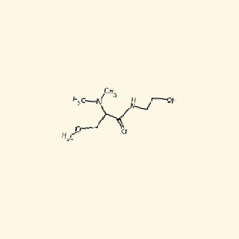 COCC(C(=O)NCCO)N(C)C